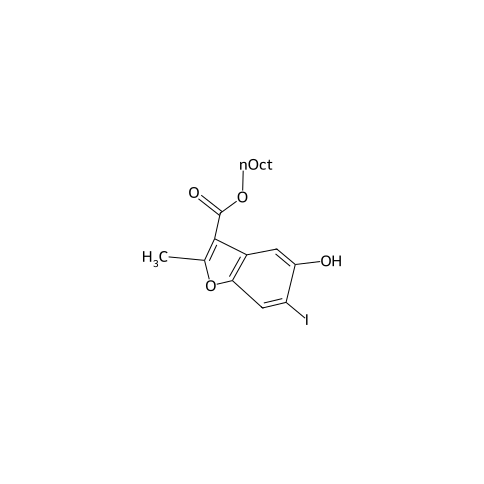 CCCCCCCCOC(=O)c1c(C)oc2cc(I)c(O)cc12